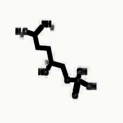 CC(N)CC[C@H](O)COP(=O)(O)O